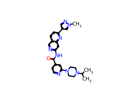 CC(C)N1CCN(c2cc(C(=O)Nc3cc4nc(-c5cnn(C)c5)ccc4cn3)ccn2)CC1